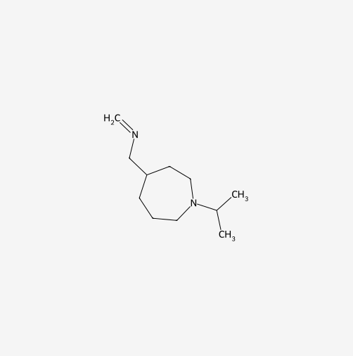 C=NCC1CCCN(C(C)C)CC1